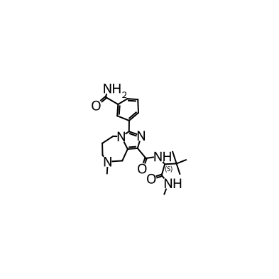 CNC(=O)[C@@H](NC(=O)c1nc(-c2cccc(C(N)=O)c2)n2c1CN(C)CCC2)C(C)(C)C